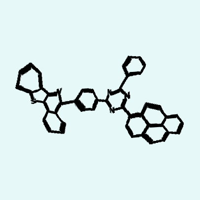 c1ccc(-c2nc(-c3ccc(-c4nc5c6ccccc6sc5c5ccccc45)cc3)nc(-c3ccc4ccc5cccc6ccc3c4c56)n2)cc1